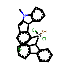 CN1C2=Cc3cc(Br)c[c]([Zr]([SH])([Cl])([Cl])[CH]4c5ccccc5-c5ccccc54)c3C2c2ccccc21